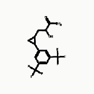 NC(=O)N(O)CC1CC1c1cc(C(F)(F)F)cc(C(F)(F)F)c1